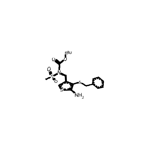 CC(C)(C)OC(=O)N(Cc1csc(N)c1SCc1ccccc1)S(C)(=O)=O